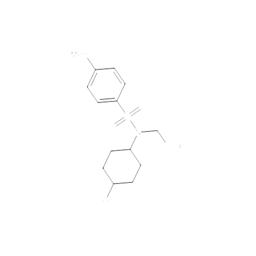 COc1ccc(S(=O)(=O)N(CC(=O)O)C2CCC(O)CC2)cc1